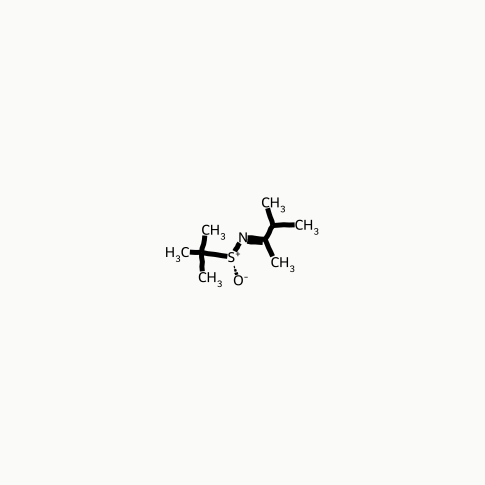 C/C(=N\[S@+]([O-])C(C)(C)C)C(C)C